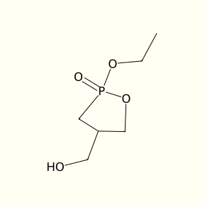 CCOP1(=O)CC(CO)CO1